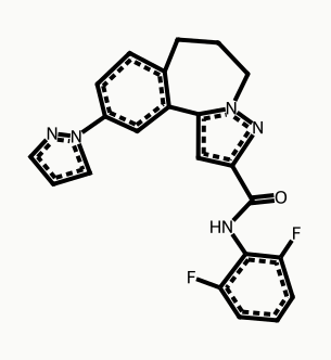 O=C(Nc1c(F)cccc1F)c1cc2n(n1)CCCc1ccc(-n3cccn3)cc1-2